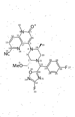 COC[C@@H]1CN(c2cc(=O)n(C)c3ccc(C#N)nc23)[C@@H](C)CN1C(c1ccc(F)cc1)c1nc(F)no1